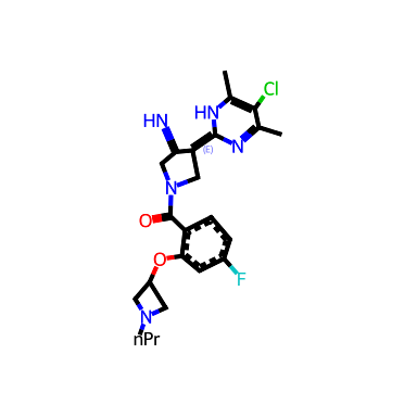 CCCN1CC(Oc2cc(F)ccc2C(=O)N2CC(=N)/C(=C3/N=C(C)C(Cl)=C(C)N3)C2)C1